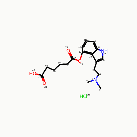 CN(C)CCc1c[nH]c2cccc(OC(=O)CCCCC(=O)O)c12.Cl